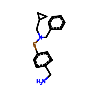 NCc1ccc(SN(Cc2ccccc2)CC2CC2)cc1